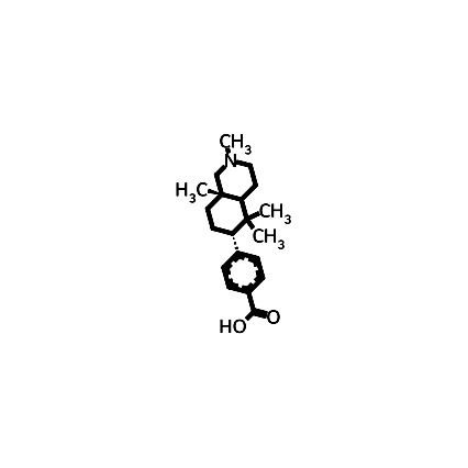 CN1CCC2C(C)(C)[C@H](c3ccc(C(=O)O)cc3)CC[C@]2(C)C1